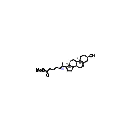 COC(=O)CCC/C=C(\C)C1CCC2C3CC=C4CC(O)CC[C@]4(C)C3CC[C@]12C